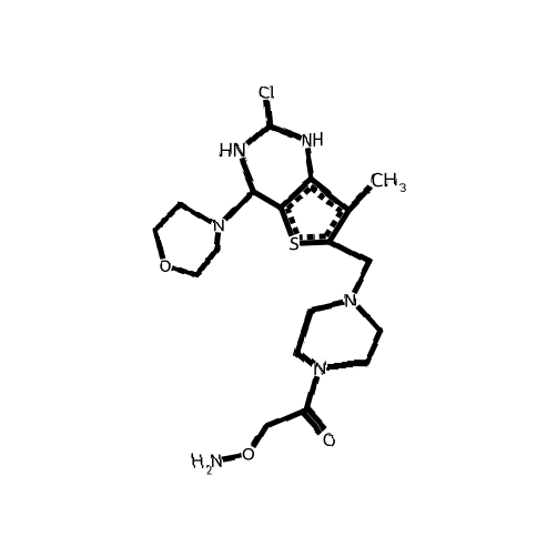 Cc1c(CN2CCN(C(=O)CON)CC2)sc2c1NC(Cl)NC2N1CCOCC1